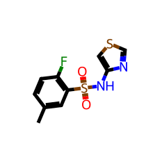 Cc1ccc(F)c(S(=O)(=O)Nc2cscn2)c1